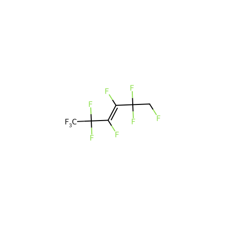 FCC(F)(F)/C(F)=C(\F)C(F)(F)C(F)(F)F